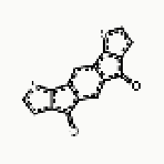 O=c1c2cc3c(=O)c4ccsc4c3cc2c2sccc12